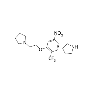 C1CCNC1.O=[N+]([O-])c1ccc(C(F)(F)F)c(OCCN2CCCC2)c1